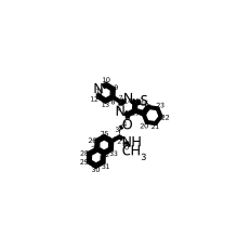 CN[C@@H](COc1nc(-c2ccncc2)nc2sc3c(c12)CCCC3)c1ccc2ccccc2c1